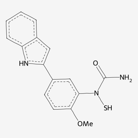 COc1ccc(-c2cc3ccccc3[nH]2)cc1N(S)C(N)=O